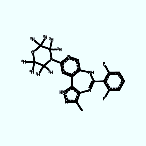 [2H]C1([2H])OC([2H])([2H])C([2H])([2H])N(c2cc3c(cn2)NC(c2c(F)cccc2F)=Nc2c(C)n[nH]c2-3)C1([2H])[2H]